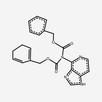 O=C(OCC1=CCCC=C1)N(C(=O)OCc1ccccc1)c1nccc2[nH]cnc12